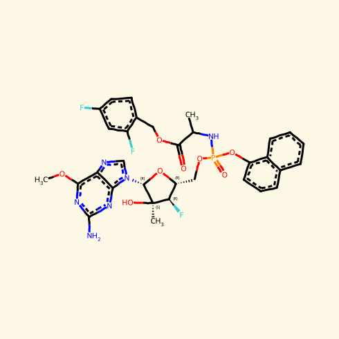 COc1nc(N)nc2c1ncn2[C@@H]1O[C@H](COP(=O)(NC(C)C(=O)OCc2ccc(F)cc2F)Oc2cccc3ccccc23)[C@@H](F)[C@@]1(C)O